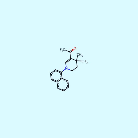 CC1(C)CCN(c2cccc3ccccc23)C=C1C(=O)C(F)(F)F